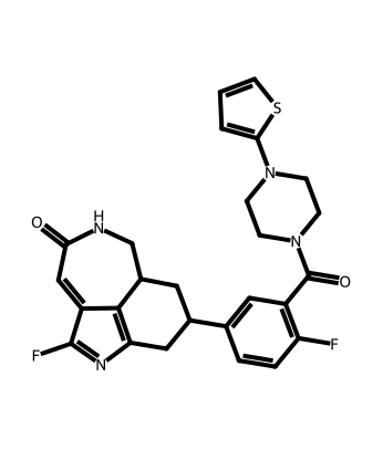 O=C1C=C2C(F)=NC3=C2C(CN1)CC(c1ccc(F)c(C(=O)N2CCN(c4cccs4)CC2)c1)C3